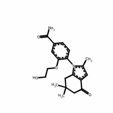 Cc1cc2c(n1-c1ccc(C(N)=O)cc1OCCO)CC(C)(C)CC2=O